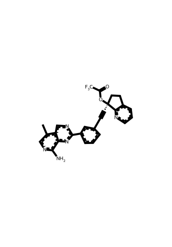 Cc1cnc(N)c2nc(-c3cccc(C#C[C@]4(OC(=O)C(F)(F)F)CCc5cccnc54)c3)ncc12